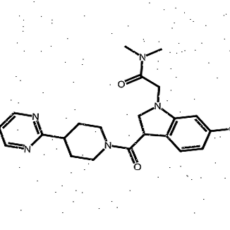 CN(C)C(=O)CN1CC(C(=O)N2CCC(c3ncccn3)CC2)c2ccc(Cl)cc21